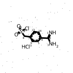 Cl.N=C(N)c1ccc(CS(=O)(=O)Cl)cc1